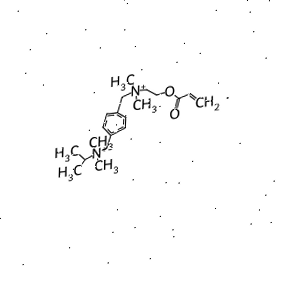 C=CC(=O)OCC[N+](C)(C)Cc1ccc(C[N+](C)(C)C(C)C)cc1